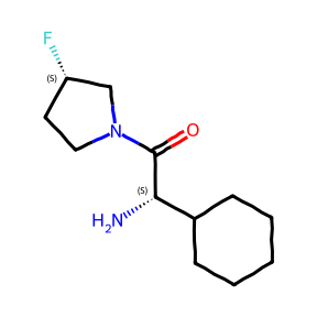 N[C@H](C(=O)N1CC[C@H](F)C1)C1CCCCC1